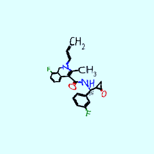 C=CCN1Cc2c(F)cccc2C(C(=O)N[C@H](c2cccc(F)c2)C2CC2=O)=C1C